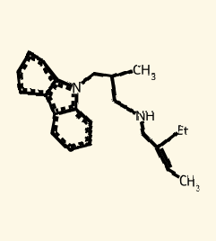 C/C=C(\CC)CNCC(C)Cn1c2ccccc2c2ccccc21